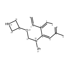 C=NC(=C/C)/C(=C\C(=C)C)N(COC1CNC1)C(C)C